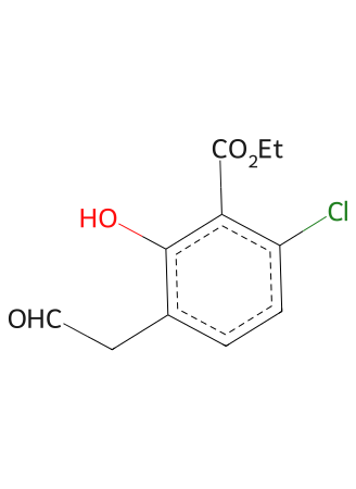 CCOC(=O)c1c(Cl)ccc(CC=O)c1O